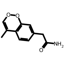 CC1=COOc2cc(CC(N)=O)ccc21